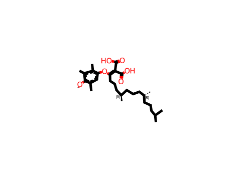 COc1c(C)cc(OC(CCC[C@H](C)CCC[C@H](C)CCCC(C)C)=C(C(=O)O)C(=O)O)c(C)c1C